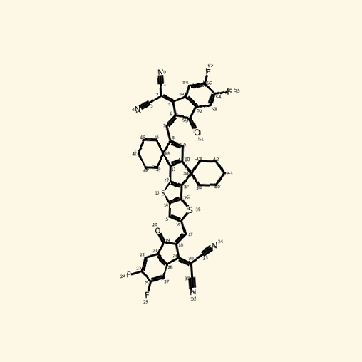 N#CC(C#N)=C1/C(=C/C2=CC3=C(c4sc5cc(/C=C6\C(=O)c7cc(F)c(F)cc7C6=C(C#N)C#N)sc5c4C34CCCCC4)C23CCCCC3)C(=O)c2cc(F)c(F)cc21